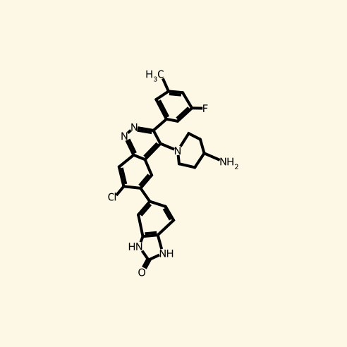 Cc1cc(F)cc(-c2nnc3cc(Cl)c(-c4ccc5[nH]c(=O)[nH]c5c4)cc3c2N2CCC(N)CC2)c1